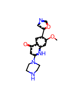 COc1cc2[nH]c(N3CCNCC3)cc(=O)c2cc1-c1cnco1